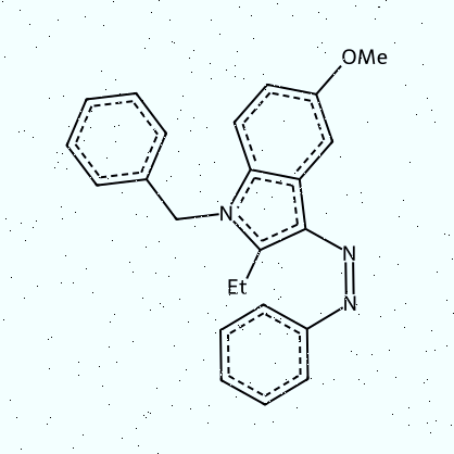 CCc1c(/N=N\c2ccccc2)c2cc(OC)ccc2n1Cc1ccccc1